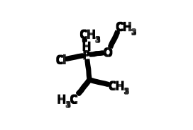 CO[PH](C)(Cl)C(C)C